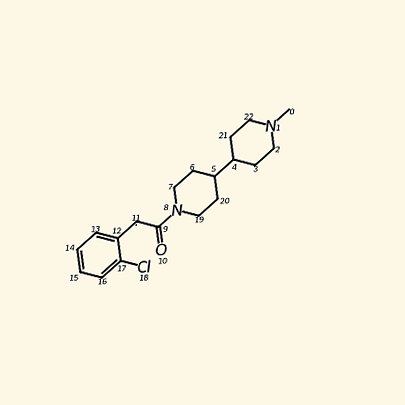 CN1CCC(C2CCN(C(=O)[CH]c3ccccc3Cl)CC2)CC1